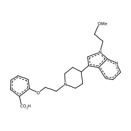 COCCn1cc(C2CCN(CCOc3ccccc3C(=O)O)CC2)c2cccnc21